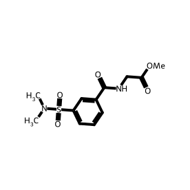 COC(=O)CNC(=O)c1cccc(S(=O)(=O)N(C)C)c1